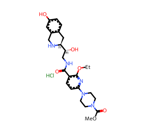 CCOc1nc(N2CCN(C(=O)OC)CC2)ccc1C(=O)NC[C@@H](O)[C@@H]1Cc2ccc(O)cc2CN1.Cl